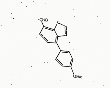 COc1ccc(-c2ccc(C=O)c3sccc23)cc1